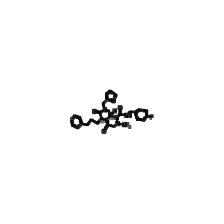 CN1CC(=O)N2[C@@H](CCCc3ccccc3)C(=O)N(Cc3ccco3)C[C@@H]2N1C(=O)NCc1ccc(F)cc1